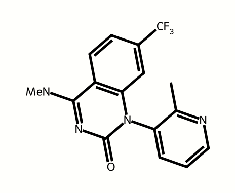 CNc1nc(=O)n(-c2cccnc2C)c2cc(C(F)(F)F)ccc12